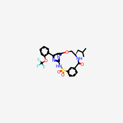 CC(C)C[C@@H]1COc2cc(-c3ccccc3OC(F)(F)F)nc(n2)NS(=O)(=O)c2cccc(c2)C(=O)N1